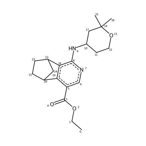 CCOC(=O)c1cnc(NC2CCOC(C)(C)C2)c2c1C1CCC2C1